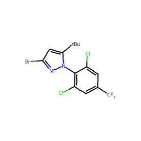 CC(C)(C)c1cc(Br)nn1-c1c(Cl)cc(C(F)(F)F)cc1Cl